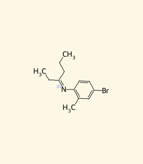 CCC/C(CC)=N\c1ccc(Br)cc1C